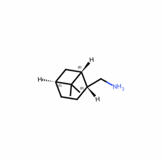 CC1(C)[C@H]2CC[C@@H](CN)[C@H]1C2